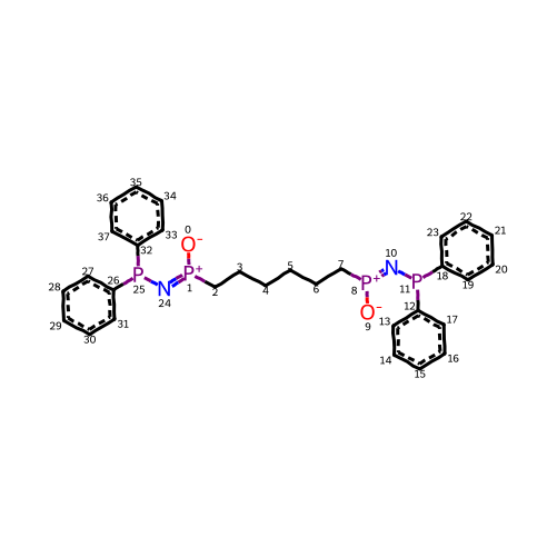 [O-]/[P+](CCCCCC/[P+]([O-])=N/P(c1ccccc1)c1ccccc1)=N\P(c1ccccc1)c1ccccc1